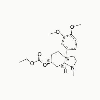 CCOC(=O)O[C@H]1CC[C@@]2(c3ccc(OC)c(OC)c3)CCN(C)[C@H]2C1